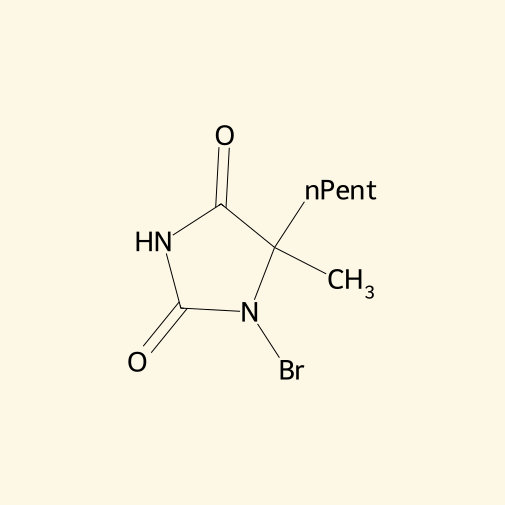 CCCCCC1(C)C(=O)NC(=O)N1Br